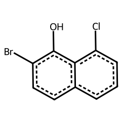 Oc1c(Br)ccc2cccc(Cl)c12